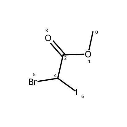 COC(=O)C(Br)I